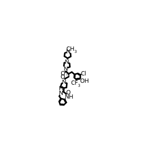 CN1CCC(N2CCN(C(=O)[C@H](CC(=O)N3CCC(C4NCc5ccccc5NC4=O)CC3)Cc3cc(Cl)c(O)c(C(F)(F)F)c3)CC2)CC1